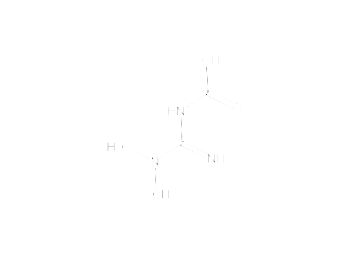 CN(C)C(=N)NC(=O)O